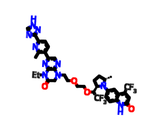 CCN1C(=O)CN(CCOCCOC([C@H]2CC[C@H](C)N2c2ccc3[nH]c(=O)cc(C(F)(F)F)c3c2)C(F)(F)F)c2ncc(-c3ccc(-c4nc[nH]n4)nc3C)nc21